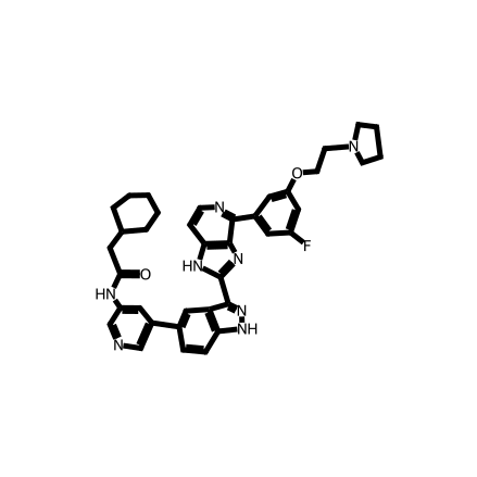 O=C(CC1CCCCC1)Nc1cncc(-c2ccc3[nH]nc(-c4nc5c(-c6cc(F)cc(OCCN7CCCC7)c6)nccc5[nH]4)c3c2)c1